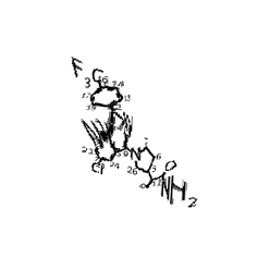 C=C(C(N)=O)C1CCN(c2nn(-c3ccc(C(F)(F)F)cc3)c3ncc(Cl)cc23)C1